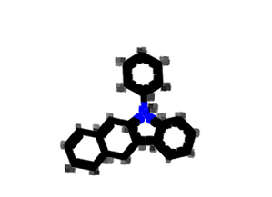 C1=CC2=Cc3c(c4ccccc4n3-c3ccccc3)CC2C=C1